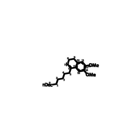 CCCCCCCCCCCCCCCC1=NCCc2cc(OC)c(OC)cc21